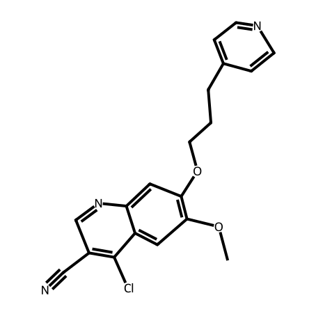 COc1cc2c(Cl)c(C#N)cnc2cc1OCCCc1ccncc1